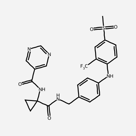 CS(=O)(=O)c1ccc(Nc2ccc(CNC(=O)C3(NC(=O)c4cncnc4)CC3)cc2)c(C(F)(F)F)c1